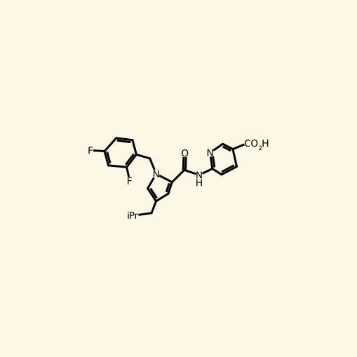 CC(C)Cc1cc(C(=O)Nc2ccc(C(=O)O)cn2)n(Cc2ccc(F)cc2F)c1